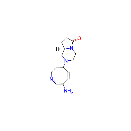 NC1=C=NCCC(N2CCN3C(=O)CC[C@@H]3C2)C#C1